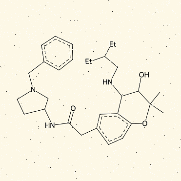 CCC(CC)CNC1c2cc(CC(=O)NC3CCN(Cc4ccccc4)C3)ccc2OC(C)(C)C1O